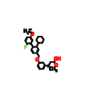 COc1ccc(F)c(-c2ccc(COc3cccc([C@@H](C)CC(=O)O)c3)cc2C2=CCCCC2)c1